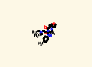 CCN(CC)CCN1C(=O)c2cc3occc3n2CC1(C)C(=O)NC1CCC(C)CC1